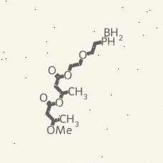 BPCCOCCOC(=O)CC(C)OC(=O)CC(C)OC